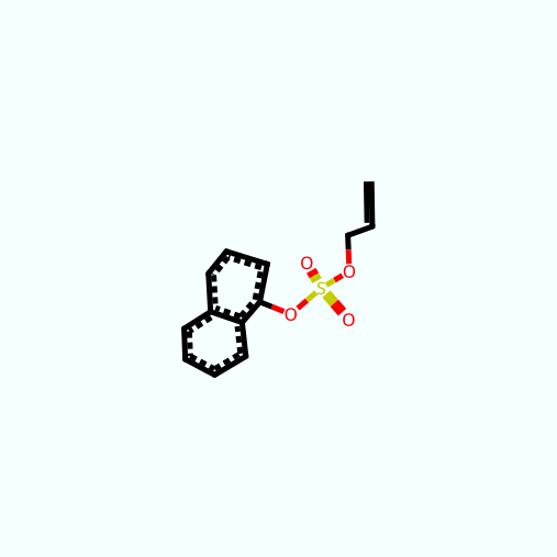 C=CCOS(=O)(=O)Oc1cccc2ccccc12